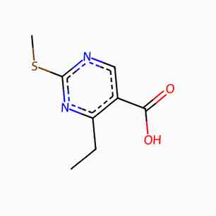 CCc1nc(SC)ncc1C(=O)O